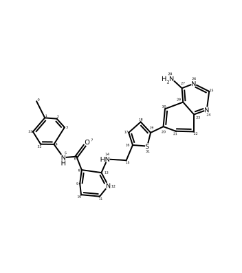 Cc1ccc(NC(=O)c2cccnc2NCc2ccc(-c3ccc4ncnc(N)c4c3)s2)cc1